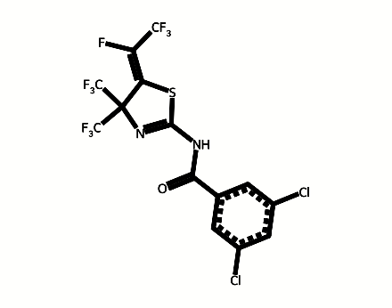 O=C(NC1=NC(C(F)(F)F)(C(F)(F)F)C(=C(F)C(F)(F)F)S1)c1cc(Cl)cc(Cl)c1